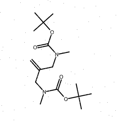 C=C(CN(C)C(=O)OC(C)(C)C)CN(C)C(=O)OC(C)(C)C